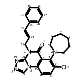 O=c1c2c(N3CCCCCC3)c(Cl)ccc2n2cnnc2n1CC=Cc1ccccc1